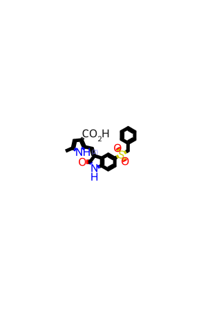 Cc1cc(C(=O)O)c(/C=C2\C(=O)Nc3ccc(S(=O)(=O)Cc4ccccc4)cc32)[nH]1